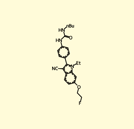 CCCCNC(=O)Nc1ccc(-c2c(C#N)c3ccc(OCCF)cc3n2CC)cc1